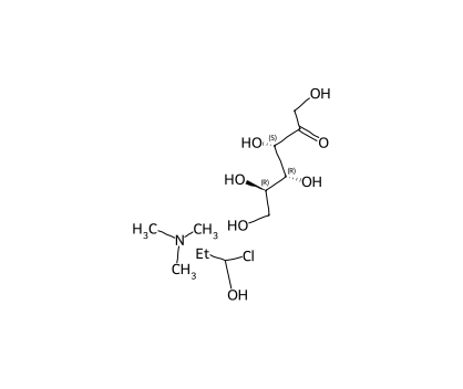 CCC(O)Cl.CN(C)C.O=C(CO)[C@@H](O)[C@H](O)[C@H](O)CO